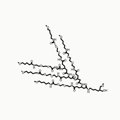 COCCCCCNC(=O)COCCOCCNC(=O)CCC(CC(=O)NCCCCC(CO)COC)NC(=O)CC(CCC(=O)NCCOCCOCC(=O)NCCCCCOC)NC(=O)CC(CCC(=O)NCCOCCOCC(=O)NCCCCCOC)NC(=O)CC(CCC(=O)NCCOCCOCC(=O)NCCCCCOC)NC(=O)CNC(=O)COCCOCCNC(=O)CCCCOC